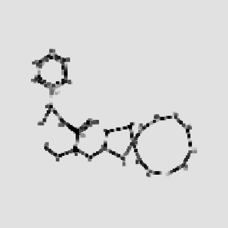 CCN(CC1CCC2(CCCCCCCCC2)S1)C(=O)[C@H]1C[C@@H]1c1ccccc1